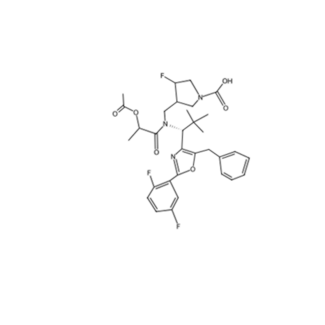 CC(=O)OC(C)C(=O)N(CC1CN(C(=O)O)CC1F)[C@@H](c1nc(-c2cc(F)ccc2F)oc1Cc1ccccc1)C(C)(C)C